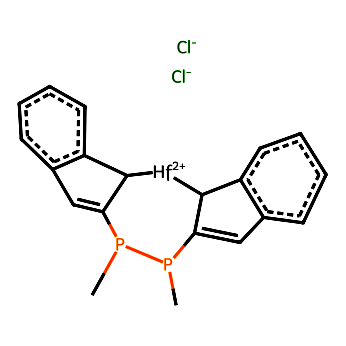 CP1C2=Cc3ccccc3[CH]2[Hf+2][CH]2C(=Cc3ccccc32)P1C.[Cl-].[Cl-]